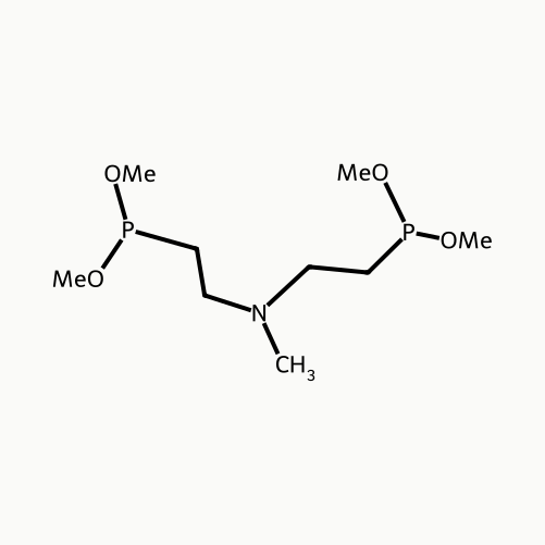 COP(CCN(C)CCP(OC)OC)OC